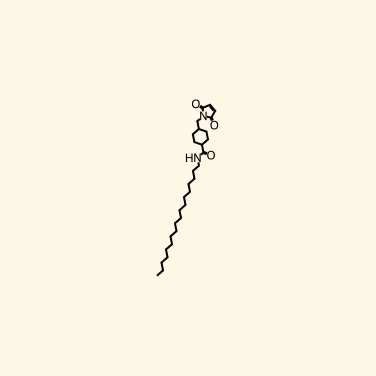 CCCCCCCCCCCCCCCCCCNC(=O)C1CCC(CN2C(=O)C=CC2=O)CC1